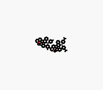 Cc1ccc(N(c2ccc(C)c(-c3cccc4c5c(ccc34)-c3c(cc(N(c4ccc(C(C)C)cc4)c4ccc(C(C)C)cc4)c4ccccc34)C53c4ccccc4-c4ccccc43)c2)c2cc3c(c4ccccc24)-c2ccc4ccccc4c2C32c3ccccc3-c3ccccc32)cc1